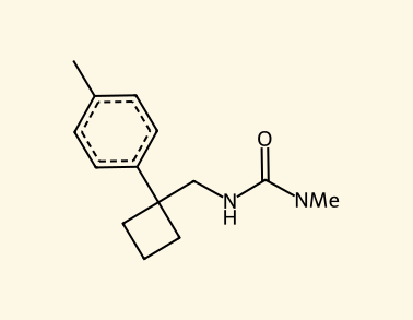 CNC(=O)NCC1(c2ccc(C)cc2)CCC1